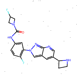 O=C(Nc1ccc(F)c(-n2cc3cc(C4CCN4)cnc3n2)c1)N1CC(F)C1